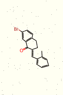 Cc1ccccc1/C=C1\CCc2ccc(Br)cc2C1=O